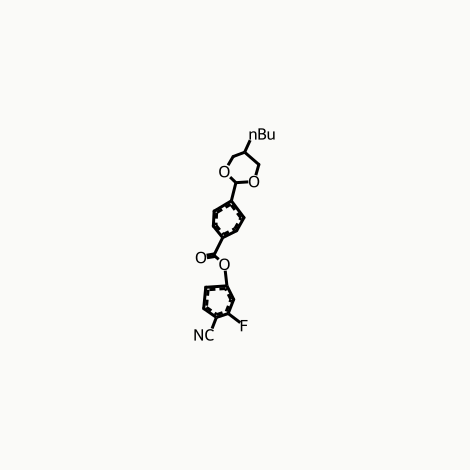 CCCCC1COC(c2ccc(C(=O)Oc3ccc(C#N)c(F)c3)cc2)OC1